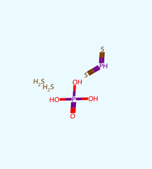 O=P(O)(O)O.S.S.S=[PH]=S